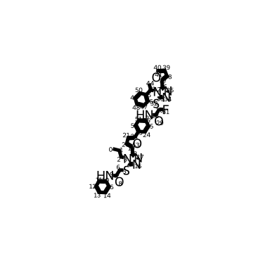 CCCn1c(SCC(=O)Nc2ccccc2)nnc1-c1ccc(-c2ccc(NC(=O)C(F)Sc3nnc(-c4ccco4)n3C(C)c3ccccc3)cc2)o1